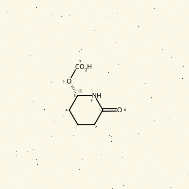 O=C1CCC[C@H](OC(=O)O)N1